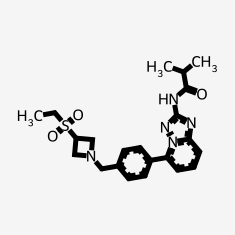 CCS(=O)(=O)C1CN(Cc2ccc(-c3cccc4nc(NC(=O)C(C)C)nn34)cc2)C1